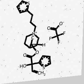 C=CC(O)(C(=O)O[C@H]1C[N+]2(CCCc3cccs3)CCC1CC2)c1cccs1.O=C([O-])C(F)(F)F